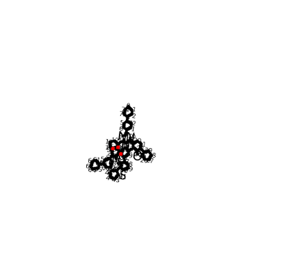 c1ccc(-c2ccc(-c3nc(-c4ccccc4)nc(-c4ccc5c(oc6ccccc65)c4-c4cccc(-c5ccc6sc7ccccc7c6c5-n5c6ccccc6c6cc(-c7ccccc7)ccc65)c4)n3)cc2)cc1